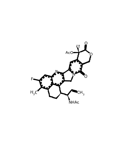 C=C[C@@H](NC(C)=O)[C@H]1CCc2c(C)c(F)cc3nc4c(c1c23)Cn1c-4cc2c(c1=O)COC(=O)[C@@]2(CC)OC(C)=O